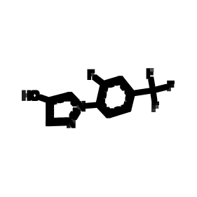 Oc1cnn(-c2ccc(C(F)(F)F)cc2F)c1